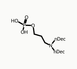 CCCCCCCCCCN(CCCCCCCCCC)CCCOP(=O)(O)O